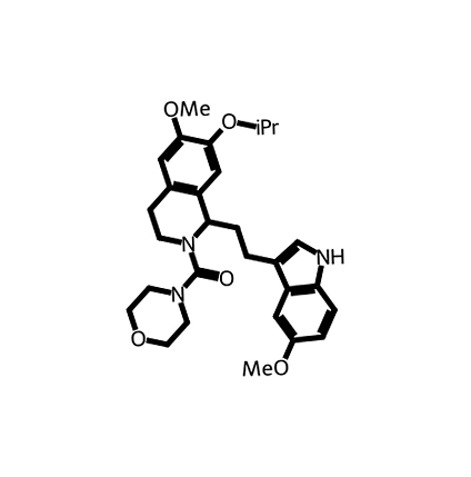 COc1ccc2[nH]cc(CCC3c4cc(OC(C)C)c(OC)cc4CCN3C(=O)N3CCOCC3)c2c1